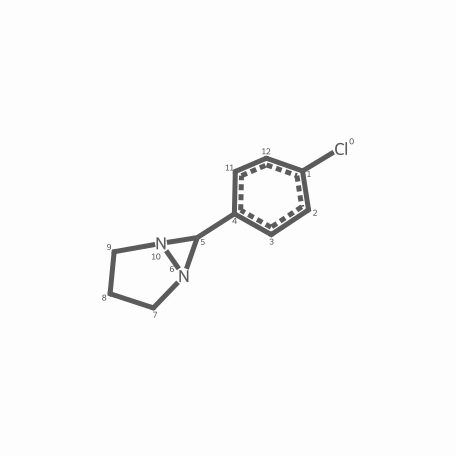 Clc1ccc(C2N3CCCN23)cc1